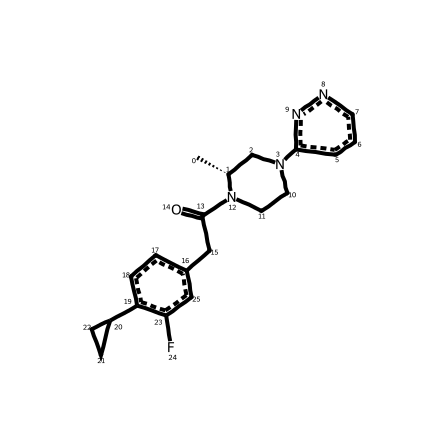 C[C@@H]1CN(c2cccnn2)CCN1C(=O)Cc1ccc(C2CC2)c(F)c1